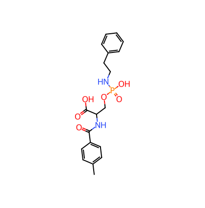 Cc1ccc(C(=O)NC(COP(=O)(O)NCCc2ccccc2)C(=O)O)cc1